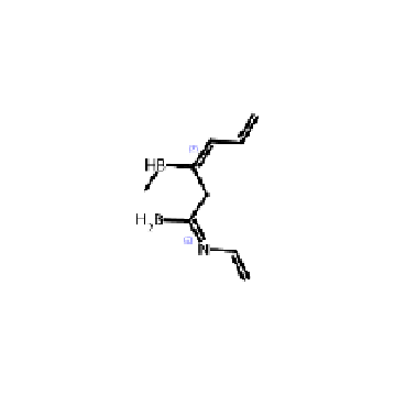 B/C(C/C(BC)=C\C=C)=N/C=C